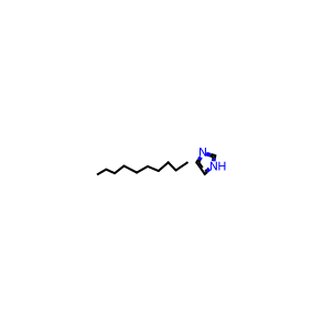 CCCCCCCCCC.c1c[nH]cn1